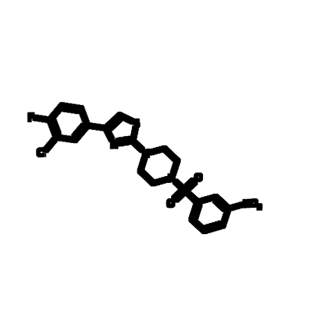 O=[N+]([O-])c1cccc(S(=O)(=O)N2CCN(c3nc(-c4ccc(F)c(Cl)c4)cs3)CC2)c1